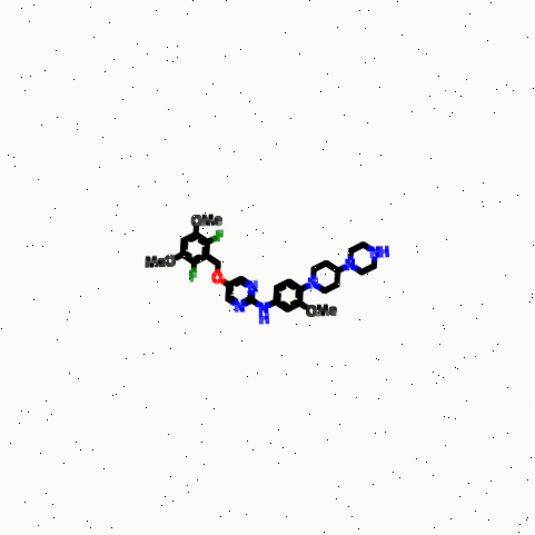 COc1cc(Nc2ncc(OCc3c(F)c(OC)cc(OC)c3F)cn2)ccc1N1CCC(N2CCNCC2)CC1